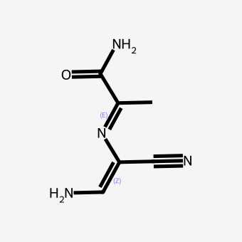 C/C(=N\C(C#N)=C/N)C(N)=O